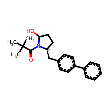 CC(C)(C)C(=O)N1C(O)CC[C@H]1Cc1ccc(-c2ccccc2)cc1